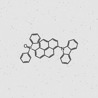 O=P(c1ccccc1)(c1ccccc1)c1ccc2ccc3c(-n4c5ccccc5c5ccccc54)ccc4ccc1c2c43